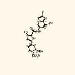 Cc1cn2cc(NC(=O)c3sc(C4=CCN(C(=O)O)C(C(C)(C)C)C4)cc3F)cc(F)c2n1